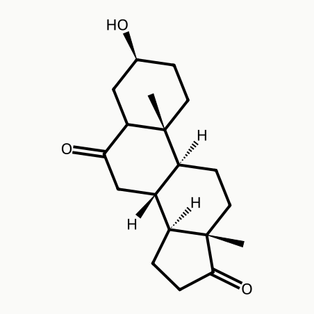 C[C@]12CC[C@H](O)CC1C(=O)C[C@@H]1[C@@H]2CC[C@]2(C)C(=O)CC[C@@H]12